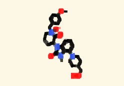 COc1ccc(C[N+]2([O-])CCCC(n3c(=O)n(C)c4c(N5CCC(CO)CC5)cccc43)C2=O)cc1